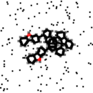 c1ccc(C2(c3ccccc3)c3ccccc3-c3cccc(-c4c5cccc(-c6ccc7c(c6)oc6ccccc67)c5cc5c(-c6ccc7c(c6)oc6ccccc67)cccc45)c32)cc1